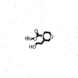 CC(C)(C)OC(=O)N1CCOCC1CCO